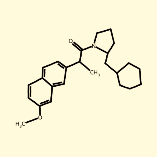 COc1ccc2ccc(C(C)C(=O)N3CCCC3CC3CCCCC3)cc2c1